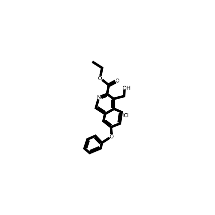 CCOC(=O)c1ncc2cc(Oc3ccccc3)ccc2c1CO.Cl